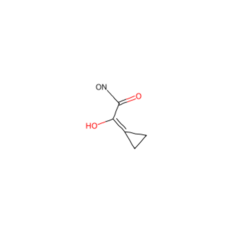 O=NC(=O)C(O)=C1CC1